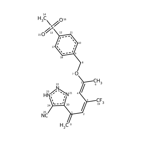 C=C(/C=C(\C=C(/C)OCc1ccc(S(C)(=O)=O)cc1)C(F)(F)F)c1nn[nH]c1C#N